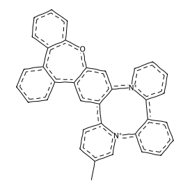 Cc1ccc2c3cc4c(cc3[n+]3ccccc3c3ccccc3[n+]2c1)oc1ccccc1c1ccccc41